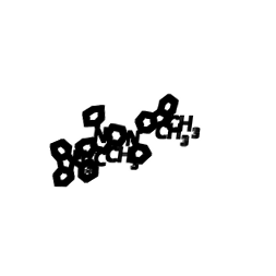 CC1(C)c2ccccc2-c2ccc(N(c3ccccc3)c3ccc4c(c3)C(C)(C)c3cc(C5(c6ccccc6)c6ccccc6-c6ccccc65)ccc3N4c3ccccc3)cc21